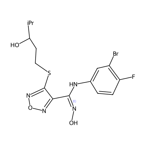 CC(C)C(O)CCSc1nonc1/C(=N\O)Nc1ccc(F)c(Br)c1